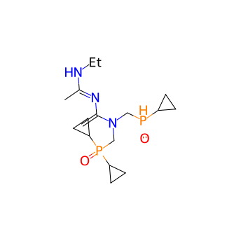 C=C(/N=C(\C)NCC)N(C[PH](=O)C1CC1)CP(=O)(C1CC1)C1CC1